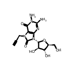 C#CCn1c(=O)n([C@@H]2O[C@@H](CO)[C@H](O)[C@H]2O)c2nc(N)n(N)c(=O)c21